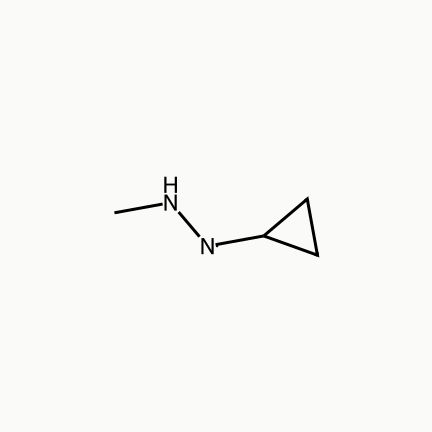 CN[N]C1CC1